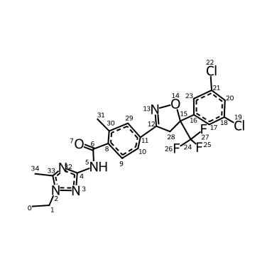 CCn1nc(NC(=O)c2ccc(C3=NOC(c4cc(Cl)cc(Cl)c4)(C(F)(F)F)C3)cc2C)nc1C